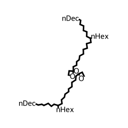 CCCCCCCCCCCCCCCCC(CCCCCC)CCCCCCCCCCC1(OC2(CCCCCCCCCCC(CCCCCC)CCCCCCCCCCCCCCCC)CCO2)CCO1